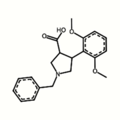 COc1cccc(OC)c1C1CN(Cc2ccccc2)CC1C(=O)O